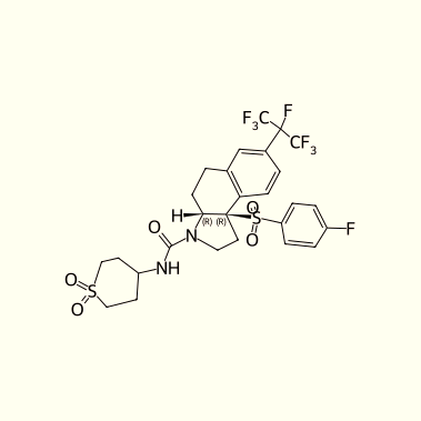 O=C(NC1CCS(=O)(=O)CC1)N1CC[C@@]2(S(=O)(=O)c3ccc(F)cc3)c3ccc(C(F)(C(F)(F)F)C(F)(F)F)cc3CC[C@@H]12